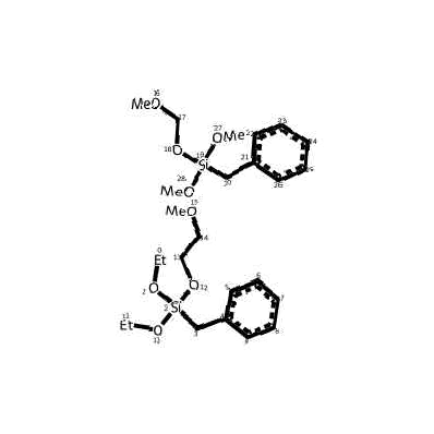 CCO[Si](Cc1ccccc1)(OCC)OCCOC.COCO[Si](Cc1ccccc1)(OC)OC